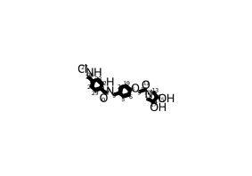 O=C(NCc1ccc(OCC(=O)N2C[C@@H](O)[C@@H](O)C2)cc1)c1ccc(CNCl)cc1